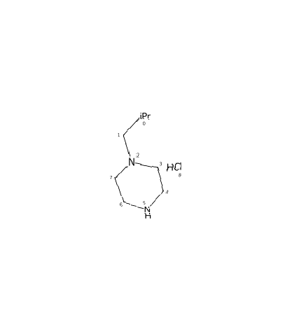 CC(C)CN1CCNCC1.Cl